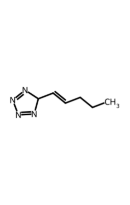 CCCC=CC1N=NN=N1